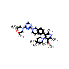 Cc1nc(C)c([C@H](OC(C)(C)C)C(=O)O)c(N2CCC(C)(C)CC2)c1-c1ccc2c(c1)CCN(c1ncnc(N3C[C@@H](C)O[C@@H](C)C3)n1)C2